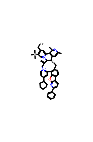 C=C1C[n+]2ccc(C3CCCCC3)cc2-c2c(ccc3c2oc2nc(-c4ccccc4)ccc23)CCC2c3cc(C)nc(C)c3-c3cc(CC(C)C)c([Si](C)(C)C)c[n+]3C12